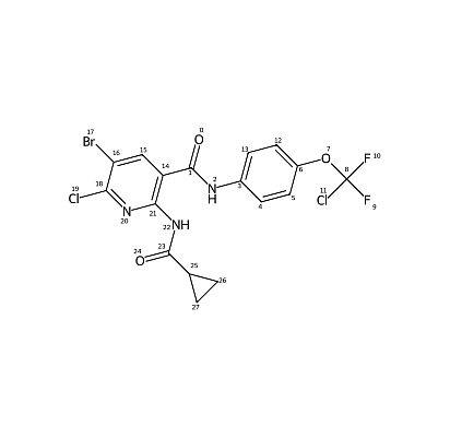 O=C(Nc1ccc(OC(F)(F)Cl)cc1)c1cc(Br)c(Cl)nc1NC(=O)C1CC1